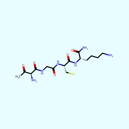 CC(=O)[C@H](N)C(=O)NCC(=O)N[C@@H](CS)C(=O)N[C@@H](CCCCN)C(N)=O